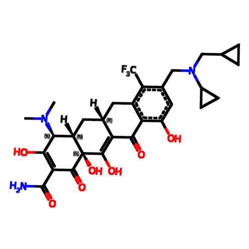 CN(C)[C@@H]1C(O)=C(C(N)=O)C(=O)[C@@]2(O)C(O)=C3C(=O)c4c(O)cc(CN(CC5CC5)C5CC5)c(C(F)(F)F)c4C[C@H]3C[C@@H]12